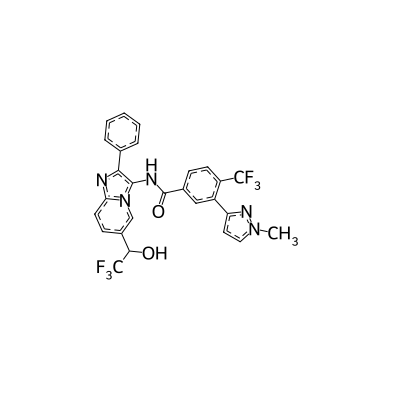 Cn1ccc(-c2cc(C(=O)Nc3c(-c4ccccc4)nc4ccc(C(O)C(F)(F)F)cn34)ccc2C(F)(F)F)n1